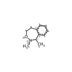 CC1c2ccccc2CCON1C